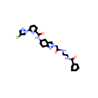 O=C(Cn1cc2cc(NC(=O)c3cccc(-n4cc(Cl)cn4)n3)ccc2n1)NCCNC(=O)c1ccccc1